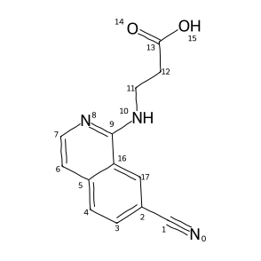 N#Cc1ccc2ccnc(NCCC(=O)O)c2c1